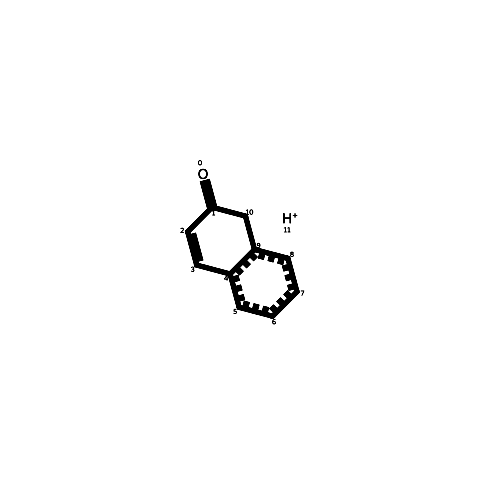 O=C1C=Cc2ccccc2C1.[H+]